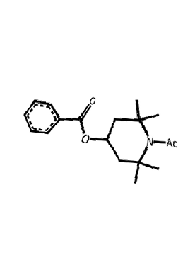 CC(=O)N1C(C)(C)CC(OC(=O)c2ccccc2)CC1(C)C